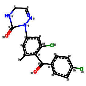 Cc1cc(N2N=CCNC2=O)cc(Cl)c1C(=O)c1ccc(Cl)cc1